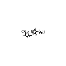 ClOCc1cnn(CC2CC=C(Cl)S2)c1